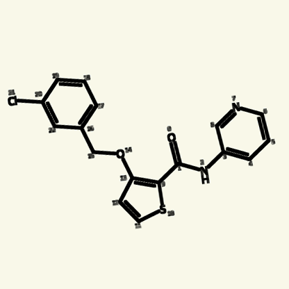 O=C(Nc1cccnc1)c1sccc1OCc1cccc(Cl)c1